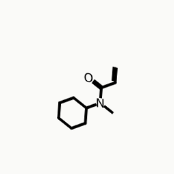 C=CC(=O)N(C)C1CCCCC1